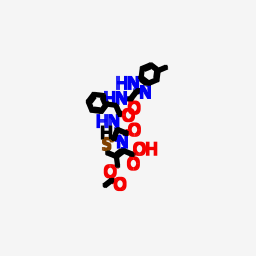 CC(=O)OCC1=C(C(=O)O)N2C(=O)C(NC(=O)C(NC(=O)c3nc4cc(C)ccc4[nH]3)c3ccccc3)[C@@H]2SC1